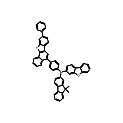 CC1(C)c2ccccc2-c2ccc(N(c3ccc(-c4cc5c6ccc(-c7ccccc7)cc6oc5c5ccccc45)cc3)c3ccc4c(c3)oc3ccccc34)cc21